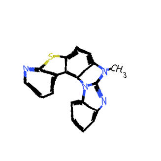 Cn1c2ccc3sc4ncccc4c3c2n2c3ccccc3nc12